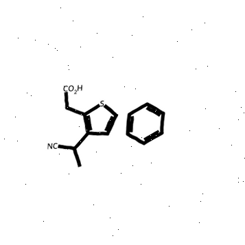 CC(C#N)c1ccsc1CC(=O)O.c1ccccc1